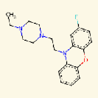 CCN1CCN(CCN2c3ccccc3Oc3ccc(F)cc32)CC1